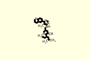 C=C(C)/C=C(\C=C/C)c1ncc(CNc2ncnc(-c3ccc4ncccc4c3)c2C)cc1C#N